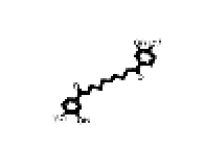 O=C(CCCCCCCCC(=O)c1ccc(O)c(O)c1)c1ccc(O)c(O)c1